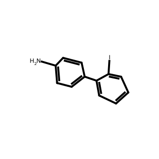 Nc1ccc(-c2ccccc2I)cc1